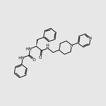 O=C(Nc1ccccc1)N[C@@H](Cc1ccccc1)C(=O)NCC1CCN(c2ccncc2)CC1